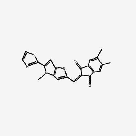 Cc1cc2c(cc1C)C(=O)C(=Cc1cc3c(cc(-c4nccs4)n3C)s1)C2=O